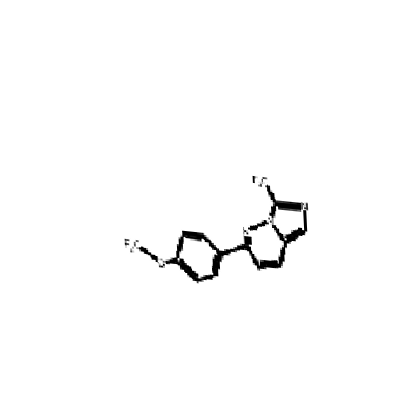 FC(F)(F)Oc1ccc(-c2ccc3cnc(C(F)(F)F)n3n2)cc1